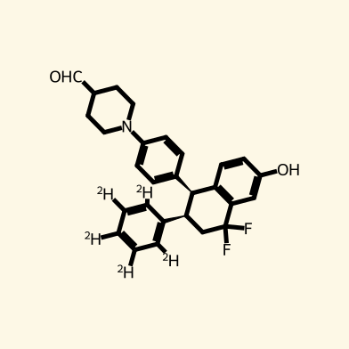 [2H]c1c([2H])c([2H])c([C@@H]2CC(F)(F)c3cc(O)ccc3[C@@H]2c2ccc(N3CCC(C=O)CC3)cc2)c([2H])c1[2H]